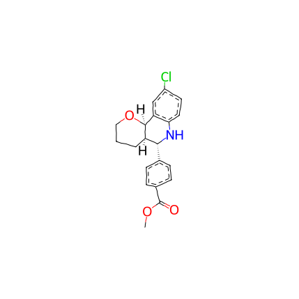 COC(=O)c1ccc([C@H]2Nc3ccc(Cl)cc3[C@@H]3OCCC[C@H]23)cc1